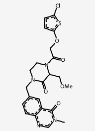 COCC1C(=O)N(Cc2ccc3ncn(C)c(=O)c3c2)CCN1C(=O)COc1ccc(Cl)s1